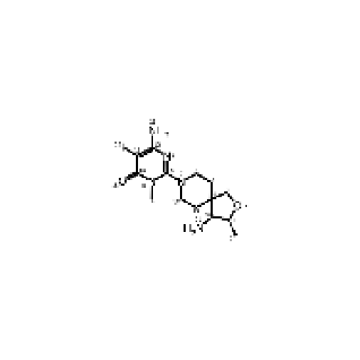 C[C@@H]1OCC2(CCN(c3nc(N)c(I)c(=O)n3C)CC2)[C@@H]1N